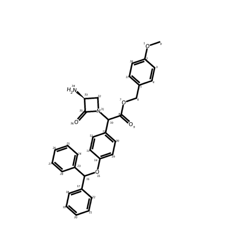 COc1ccc(COC(=O)C(c2ccc(OC(c3ccccc3)c3ccccc3)cc2)N2C[C@H](N)C2=O)cc1